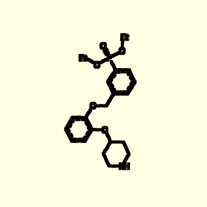 CCOP(=O)(OCC)c1cccc(COc2ccccc2OC2CCNCC2)c1